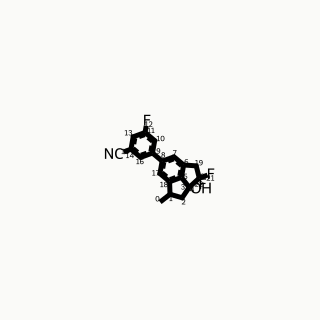 CC1CC2(O)c3c(cc(-c4cc(F)cc(C#N)c4)cc31)CC2(F)F